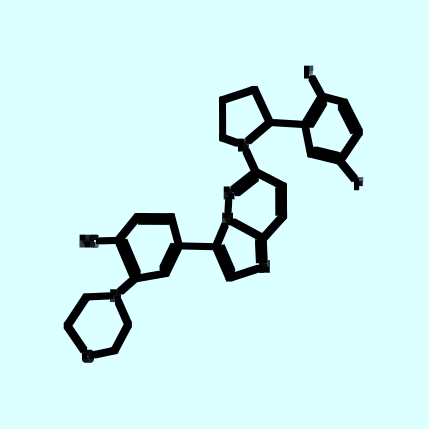 N#Cc1ccc(-c2cnc3ccc(N4CCCC4c4cc(F)ccc4F)nn23)cc1N1CCOCC1